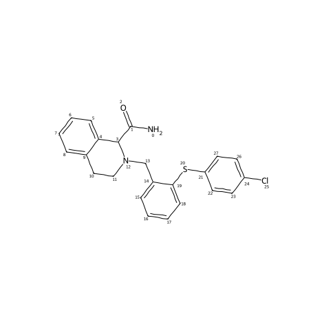 NC(=O)C1c2cc[c]cc2CCN1Cc1ccccc1Sc1ccc(Cl)cc1